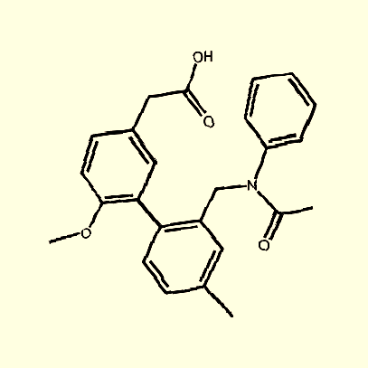 COc1ccc(CC(=O)O)cc1-c1ccc(C)cc1CN(C(C)=O)c1ccccc1